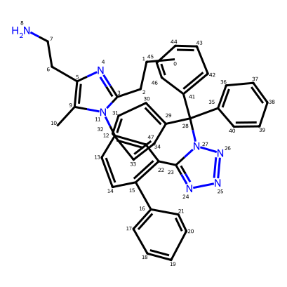 CCCc1nc(CCN)c(C)n1-c1ccc(-c2ccccc2)c(-c2nnnn2C(c2ccccc2)(c2ccccc2)c2ccccc2)c1